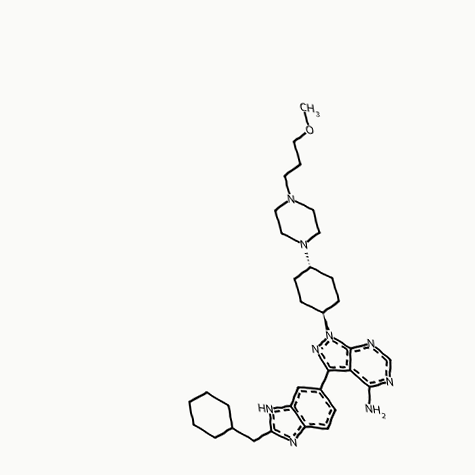 COCCCN1CCN([C@H]2CC[C@H](n3nc(-c4ccc5nc(CC6CCCCC6)[nH]c5c4)c4c(N)ncnc43)CC2)CC1